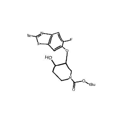 CC(C)(C)OC(=O)N1CCC(O)C(Oc2cc3sc(Br)nc3cc2F)C1